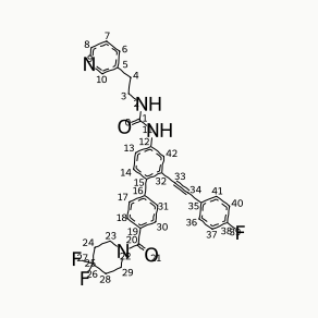 O=C(NCCc1cccnc1)Nc1ccc(-c2ccc(C(=O)N3CCC(F)(F)CC3)cc2)c(C#Cc2ccc(F)cc2)c1